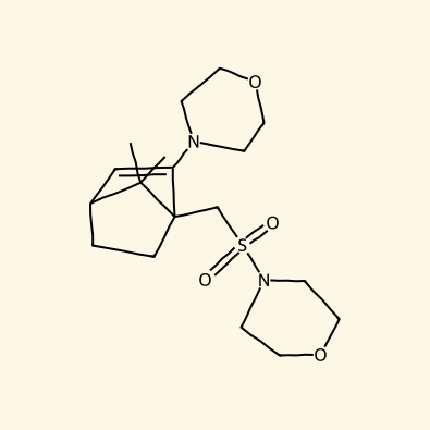 CC1(C)C2C=C(N3CCOCC3)C1(CS(=O)(=O)N1CCOCC1)CC2